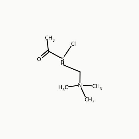 CC(=O)[SH](Cl)CC[N+](C)(C)C